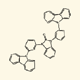 O=c1n(-c2cccc(-n3c4ccccc4c4ccccc43)c2)c2ccccc2n1-c1cccc(-n2c3ccccc3c3ccccc32)c1